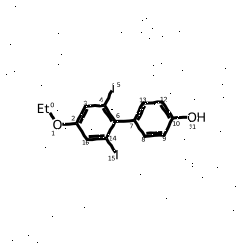 CCOc1cc(I)c(-c2ccc(O)cc2)c(I)c1